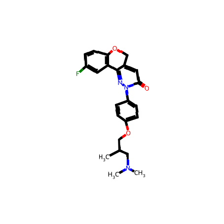 CC(COc1ccc(-n2nc3c(cc2=O)COc2ccc(F)cc2-3)cc1)CN(C)C